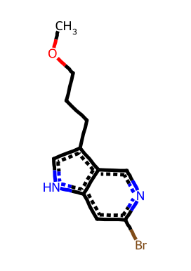 COCCCc1c[nH]c2cc(Br)ncc12